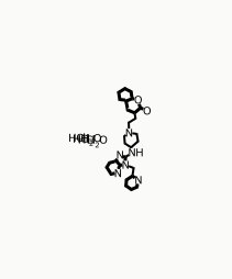 Cl.Cl.Cl.O.O.O=c1oc2ccccc2cc1CCN1CCC(Nc2nc3cccnc3n2Cc2ccccn2)CC1